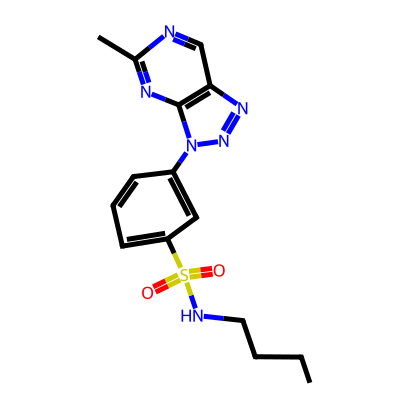 CCCCNS(=O)(=O)c1cccc(-n2nnc3cnc(C)nc32)c1